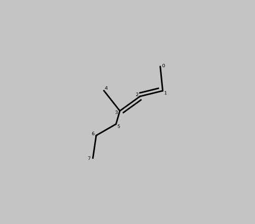 CC=C=C(C)CCC